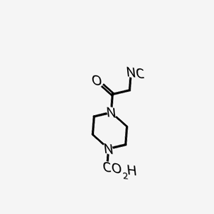 [C-]#[N+]CC(=O)N1CCN(C(=O)O)CC1